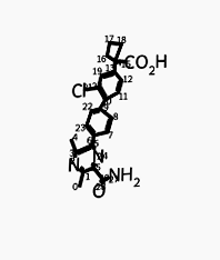 Cc1nc(C)c(-c2ccc(-c3ccc(C4(C(=O)O)CCC4)cc3Cl)cc2)nc1C(N)=O